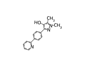 Cc1c(O)c(-c2ccc(-c3ccccn3)cc2)nn1C